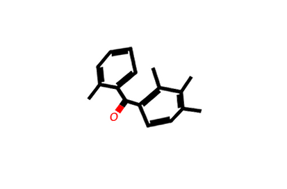 Cc1ccccc1C(=O)c1ccc(C)c(C)c1C